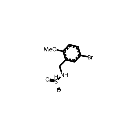 COc1ccc(Br)cc1CN[SH](=O)=O